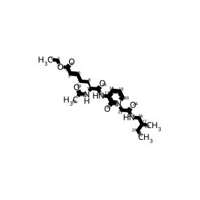 CCOC(=O)/C=C/CC[C@H](NC(C)=O)C(=O)Nc1cccn(CC(=O)NCC(C)CC)c1=O